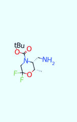 C[C@@H]1OC(F)(F)CN(C(=O)OC(C)(C)C)[C@@H]1CN